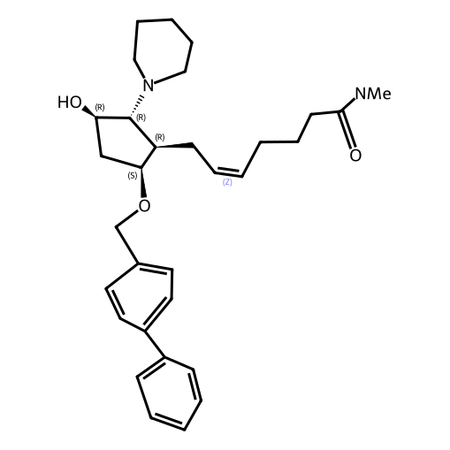 CNC(=O)CCC/C=C\C[C@@H]1[C@@H](N2CCCCC2)[C@H](O)C[C@@H]1OCc1ccc(-c2ccccc2)cc1